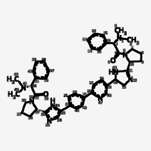 CN(C)[C@@H](C(=O)N1CCC[C@H]1C1=NCC(c2ccc(-c3ccc(-c4cnc([C@@H]5CCCN5C(=O)[C@@H](c5ccccc5)N(C)C)[nH]4)cc3)nc2)N1)c1ccccc1